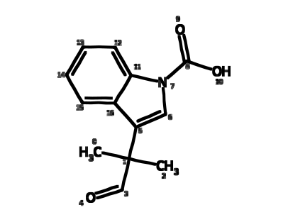 CC(C)(C=O)c1cn(C(=O)O)c2ccccc12